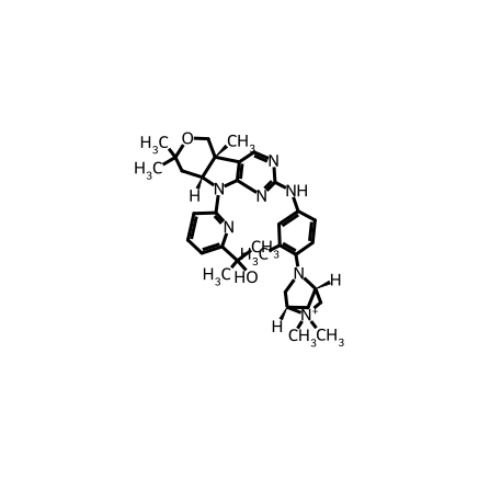 Cc1cc(Nc2ncc3c(n2)N(c2cccc(C(C)(C)O)n2)[C@@H]2CC(C)(C)OC[C@]32C)ccc1N1C[C@@H]2C[C@H]1C[N+]2(C)C